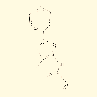 C=CC(=O)Nc1cn(-c2ccncc2)nc1C